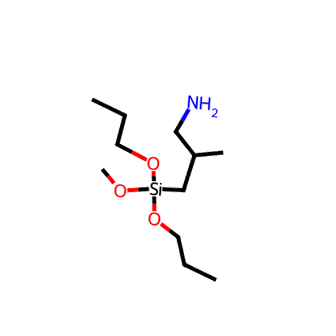 CCCO[Si](CC(C)CN)(OC)OCCC